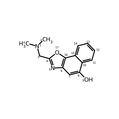 CN(C)Cc1nc2cc(O)c3ccccc3c2o1